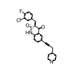 O=C1/C(=C/c2ccc(F)c(Cl)c2)[S+]([O-])Nc2ccc(C#CCc3ccncc3)cc21